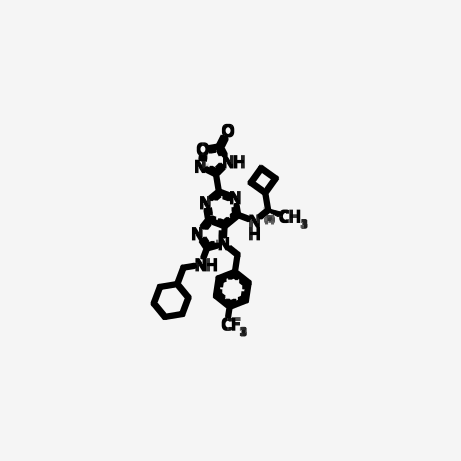 C[C@@H](Nc1nc(-c2noc(=O)[nH]2)nc2nc(NCC3CCCCC3)n(Cc3ccc(C(F)(F)F)cc3)c12)C1CCC1